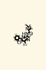 Cc1nc(C(=O)Nc2cnc3c(C)cc(-c4ccccc4C(F)(F)F)nn23)cs1